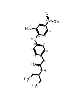 CCC(CC)NC(=O)Cc1ccc(Oc2ccc([N+](=O)[O-])cc2C)cc1